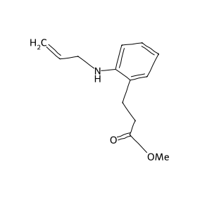 C=CCNc1ccccc1CCC(=O)OC